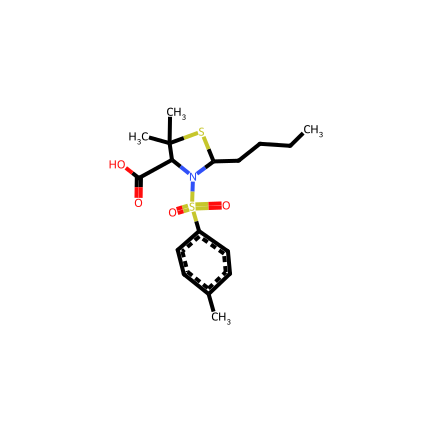 CCCCC1SC(C)(C)C(C(=O)O)N1S(=O)(=O)c1ccc(C)cc1